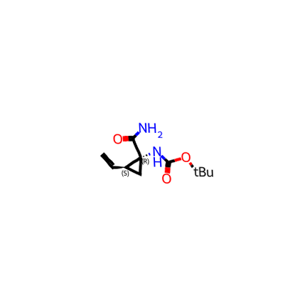 C=C[C@@H]1C[C@]1(NC(=O)OC(C)(C)C)C(N)=O